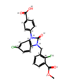 COC(=O)c1cccc(Cn2c(=O)n(-c3ccc(C(=O)O)cc3)c3cc(Cl)ccc32)c1F